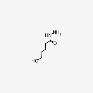 NNC(=O)CCCCO